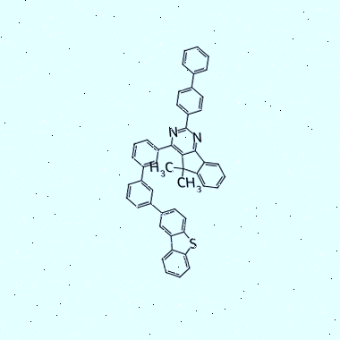 CC1(C)c2ccccc2-c2nc(-c3ccc(-c4ccccc4)cc3)nc(-c3cccc(-c4cccc(-c5ccc6sc7ccccc7c6c5)c4)c3)c21